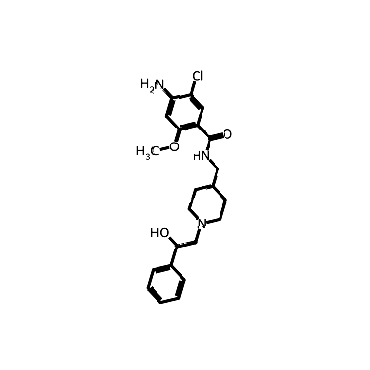 COc1cc(N)c(Cl)cc1C(=O)NCC1CCN(CC(O)c2ccccc2)CC1